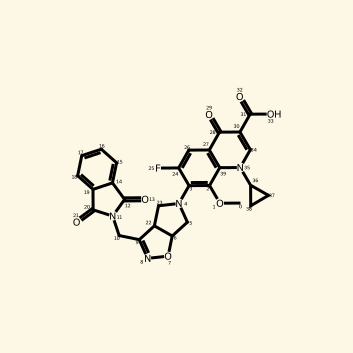 COc1c(N2CC3ON=C(CN4C(=O)c5ccccc5C4=O)C3C2)c(F)cc2c(=O)c(C(=O)O)cn(C3CC3)c12